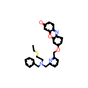 CCSCCN(Cc1ccccc1)Cc1cccc(COc2ccc3nc4ccc(=O)cc-4oc3c2)n1